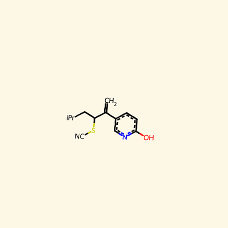 C=C(c1ccc(O)nc1)C(CC(C)C)SC#N